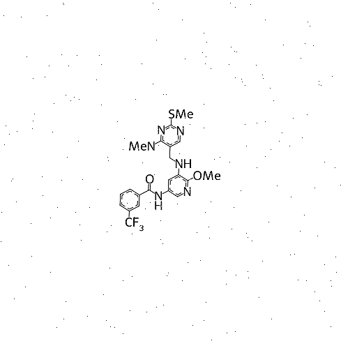 CNc1nc(SC)ncc1CNc1cc(NC(=O)c2cccc(C(F)(F)F)c2)cnc1OC